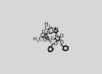 CC1Cn2ncc(N3C(=O)[C@@H](OCc4ccccc4)[C@H](OCc4ccccc4)[C@H]3C)c2CN1C(=O)OC(C)(C)C